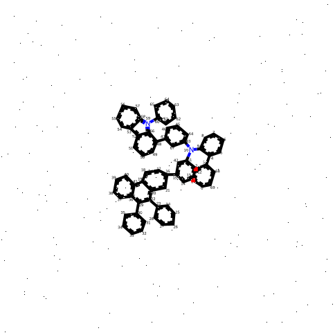 c1ccc(-c2ccccc2N(c2cccc(-c3ccc4c(c3)c(-c3ccccc3)c(-c3ccccc3)c3ccccc34)c2)c2cccc(-c3cccc4c5ccccc5n(-c5ccccc5)c34)c2)cc1